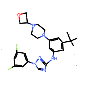 CC(C)(C)c1cc(Nc2ncn(-c3cc(F)cc(F)c3)n2)cc(N2CCN(C3COC3)CC2)c1